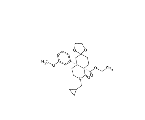 CCOC(=O)[C@@]12CCC3(C[C@]1(c1cccc(OC)c1)CCN(CC1CC1)C2=O)OCCO3